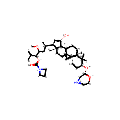 COC(C[C@@H](C)[C@H]1C[C@H](O)[C@@]2(C)C3CC[C@H]4C(C)(C)[C@@H](O[C@H]5CNCCO5)CC[C@@]45CC35CC[C@]12C)[C@H](OC(=O)N1CCC1)C(C)C